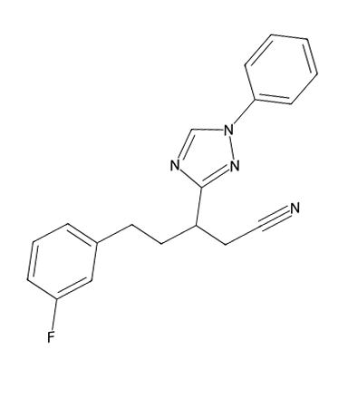 N#CCC(CCc1cccc(F)c1)c1ncn(-c2ccccc2)n1